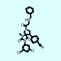 CN1C(=O)N(c2cc(Cl)cc(Cl)c2)C(=O)C12CN(C(=O)CNCc1ccccc1)CC2c1ccc(C#N)cc1